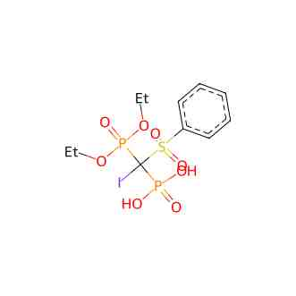 CCOP(=O)(OCC)C(I)(P(=O)(O)O)S(=O)(=O)c1ccccc1